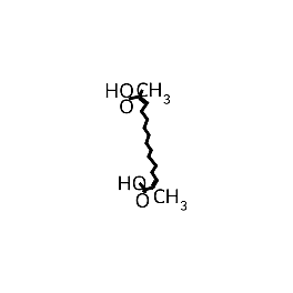 CC(=CCCCCCCCCCC=C(C)C(=O)O)C(=O)O